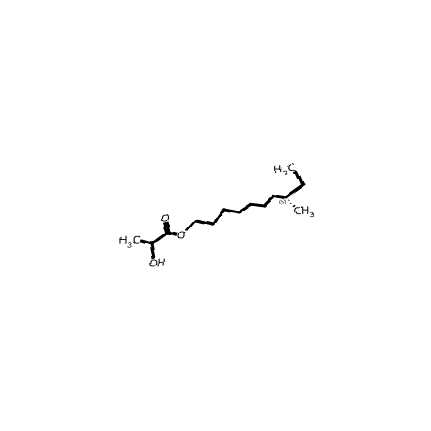 CC[C@H](C)CCCCCCCOC(=O)C(C)O